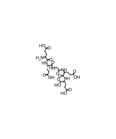 N[C@@H](CCC(=O)O)C(=O)N[C@@H](CCC(=O)O)C(=O)NCC(=O)N[C@@H](CCC(=O)O)C(=O)N[C@@H](CCC(=O)O)C(=O)O